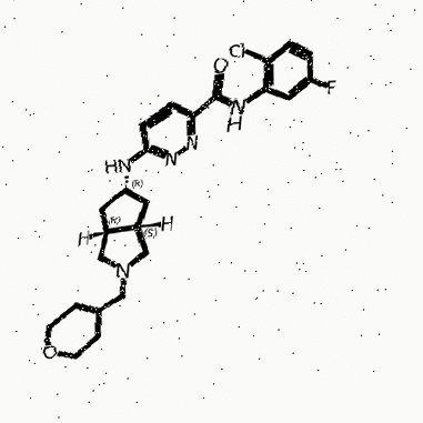 O=C(Nc1cc(F)ccc1Cl)c1ccc(N[C@@H]2C[C@@H]3CN(CC4CCOCC4)C[C@@H]3C2)nn1